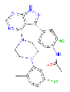 CC(=O)Nc1ccc(-c2n[nH]c3ncnc(N4CCN(c5cc(Cl)ccc5C)CC4)c23)cc1.Cl